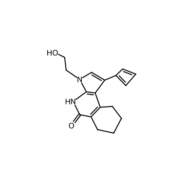 O=c1[nH]c2c(c(C3=CC=C3)cn2CCO)c2c1CCCC2